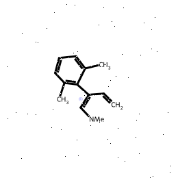 C=C/C(=C\NC)c1c(C)cccc1C